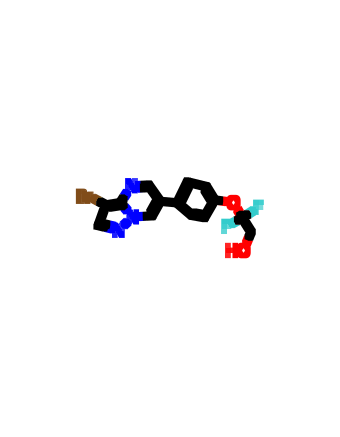 OCC(F)(F)Oc1ccc(-c2cnc3c(Br)cnn3c2)cc1